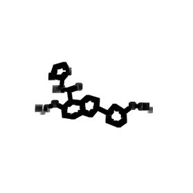 COc1cccc(-c2ccc3c(C(=O)Nc4nccs4)c(OC)ccc3c2)c1